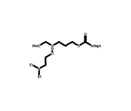 CCCCCCCC(=O)SCCC[SiH](COC)OCCN(CC)CC